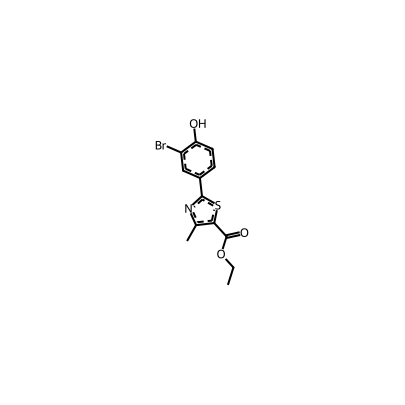 CCOC(=O)c1sc(-c2ccc(O)c(Br)c2)nc1C